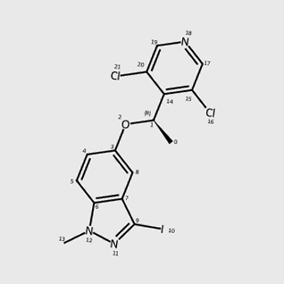 C[C@@H](Oc1ccc2c(c1)c(I)nn2C)c1c(Cl)cncc1Cl